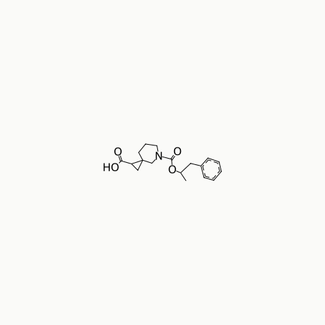 CC(Cc1ccccc1)OC(=O)N1CCCC2(CC2C(=O)O)C1